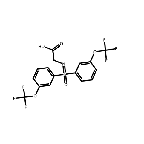 O=C(O)CN=S(=O)(c1cccc(OC(F)(F)F)c1)c1cccc(OC(F)(F)F)c1